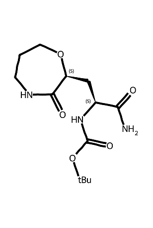 CC(C)(C)OC(=O)N[C@@H](C[C@@H]1OCCCNC1=O)C(N)=O